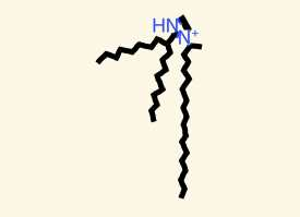 CCCCCCCCCCCCCCCCCC(C)[n+]1cc[nH]c1C(CCCCCCCC)CCCCCCCCC